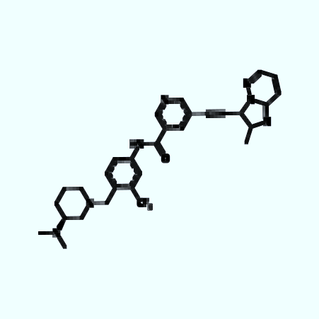 CC1N=C2C=CC=NN2C1C#Cc1cncc(C(=O)Nc2ccc(CN3CCC[C@H](N(C)C)C3)c(C(F)(F)F)c2)c1